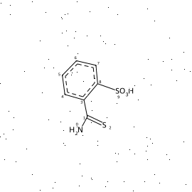 NC(=S)c1ccccc1S(=O)(=O)O